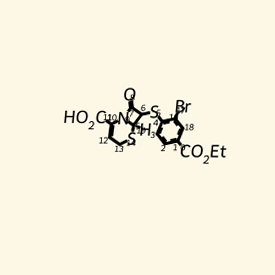 CCOC(=O)c1ccc(SC2C(=O)N3C(C(=O)O)=CCS[C@@H]23)c(Br)c1